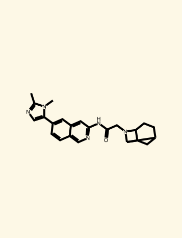 Cc1ncc(-c2ccc3cnc(NC(=O)CN4C5CCC6CC5C64)cc3c2)n1C